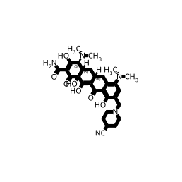 CN(C)c1cc(CN2CCC(C#N)CC2)c(O)c2c1C[C@H]1C[C@H]3[C@H](N(C)C)C(O)=C(C(N)=O)C(=O)C3(O)C(O)=C1C2=O